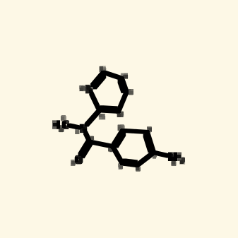 CN(C(=O)c1ccc(N)cc1)c1ccccn1